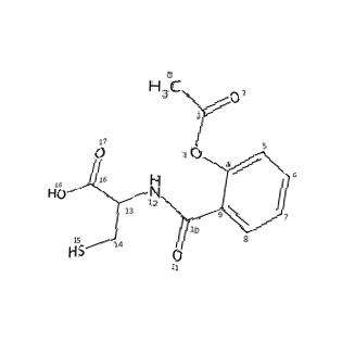 CC(=O)Oc1ccccc1C(=O)NC(CS)C(=O)O